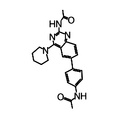 CC(=O)Nc1ccc(-c2ccc3nc(NC(C)=O)nc(N4CCCCC4)c3c2)cc1